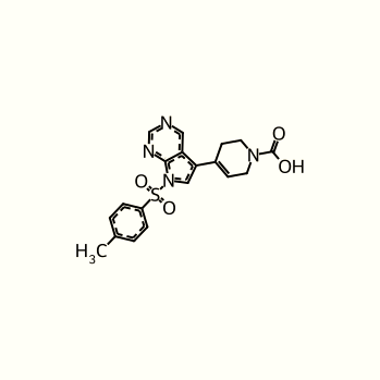 Cc1ccc(S(=O)(=O)n2cc(C3=CCN(C(=O)O)CC3)c3cncnc32)cc1